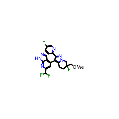 COCC1(F)CCc2c(-c3cc(C(F)F)nc4[nH]ncc34)c(-c3ccc(F)cn3)nn2C1